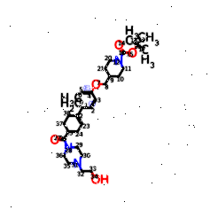 C=C(/C=C\C(=C/C)OCC1CCN(C(=O)OC(C)(C)C)CC1)C1=CCC(C(=O)N2CCN(CCO)CC2)CC1